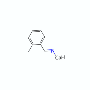 Cc1ccccc1/C=[N]/[CaH]